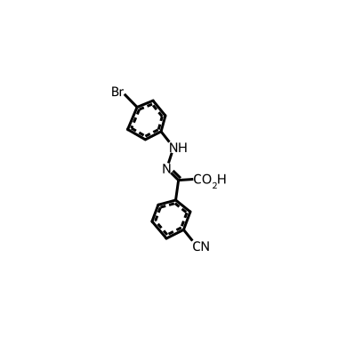 N#Cc1cccc(C(=NNc2ccc(Br)cc2)C(=O)O)c1